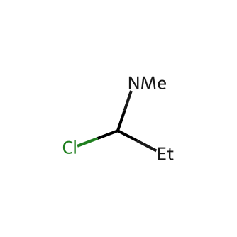 CCC(Cl)NC